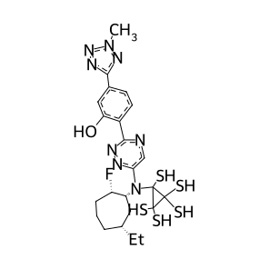 CC[C@@H]1CCC[C@H](F)[C@H](N(c2cnc(-c3ccc(-c4nnn(C)n4)cc3O)nn2)C2(S)C(S)(S)C2(S)S)C1